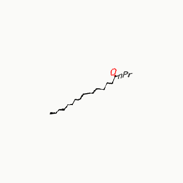 C=C/C=C/CCCCCCCCCCC(=O)CCC